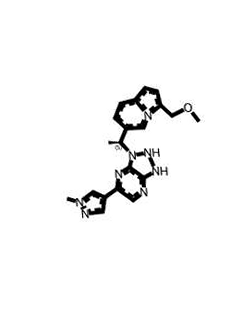 COCc1ccc2ccc([C@H](C)N3NNc4ncc(-c5cnn(C)c5)nc43)cn12